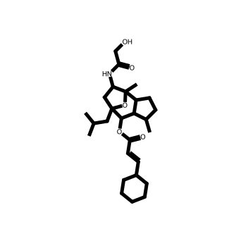 CC(C)CC12CC(NC(=O)CO)C(C)(O1)C1CCC(C)C1C2OC(=O)/C=C/C1CCCCC1